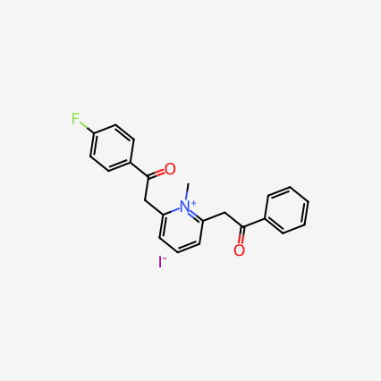 C[n+]1c(CC(=O)c2ccccc2)cccc1CC(=O)c1ccc(F)cc1.[I-]